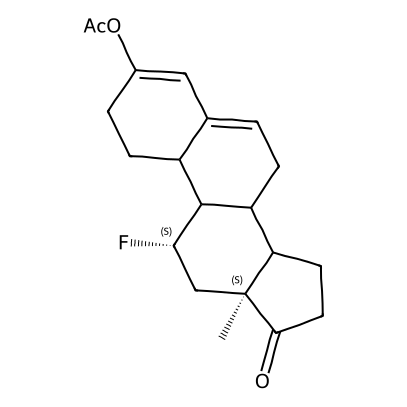 CC(=O)OC1=CC2=CCC3C(C2CC1)[C@@H](F)C[C@]1(C)C(=O)CCC31